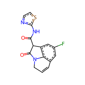 O=C(Nc1nccs1)C1C(=O)N2CC=Cc3cc(F)cc1c32